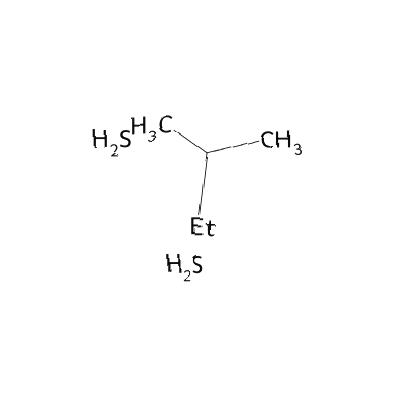 CCC(C)C.S.S